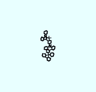 CC1(C)c2ccc(N(c3ccccc3)c3ccccc3-c3cccc(C4(c5ccccc5)c5ccccc5-c5ccccc54)c3)cc2-c2c1n(-c1ccccc1)c1ccccc21